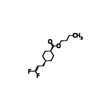 CCCCOC(=O)[C@H]1CC[C@@H](CC=C(F)F)CC1